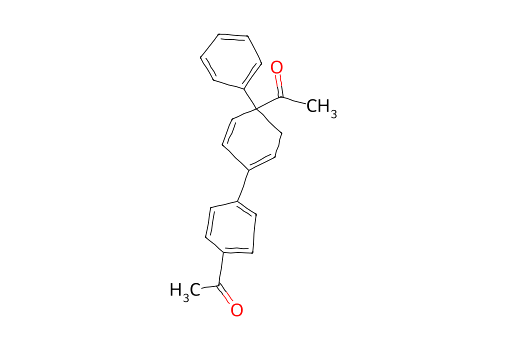 CC(=O)c1ccc(C2=CCC(C(C)=O)(c3ccccc3)C=C2)cc1